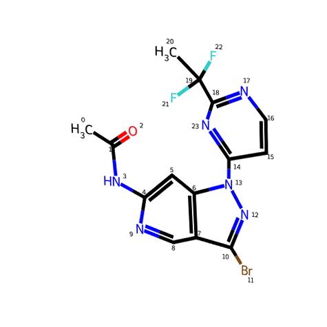 CC(=O)Nc1cc2c(cn1)c(Br)nn2-c1ccnc(C(C)(F)F)n1